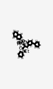 CCN(C(=O)C(Cc1cccc(-c2ccccc2)c1)C(=O)NS(=O)(=O)c1ccc2ccccc2c1)c1ccccc1